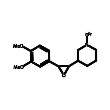 CCCN1CCCC(C2OC2c2ccc(OC)c(OC)c2)C1